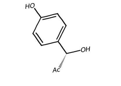 CC(=O)[C@@H](O)c1ccc(O)cc1